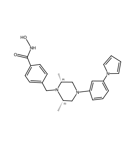 C[C@@H]1CN(c2cccc(-n3cccc3)c2)C[C@H](C)N1Cc1ccc(C(=O)NO)cc1